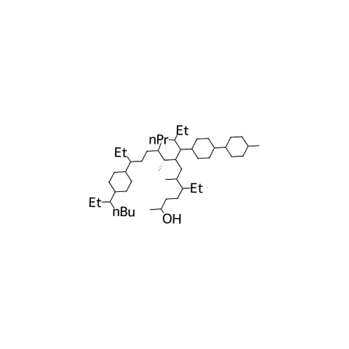 CCCCC(CC)C1CCC(C(CC)CCC(C)[C@@H](C)C(CC(C)C(CC)CCC(C)O)C(C(CC)CCC)C2CCC(C3CCC(C)CC3)CC2)CC1